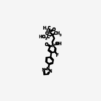 C[C@@](CC[N+]1(O)C=C(F)C(c2ccc(-n3nccn3)cc2)=CC1=O)(C(=O)O)S(C)(=O)=O